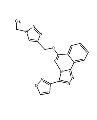 CCn1cc(COc2nn3c(-c4ccon4)nnc3c3ccccc23)nn1